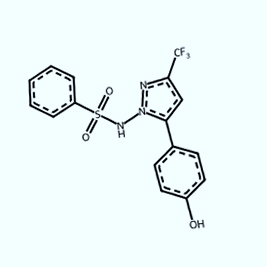 O=S(=O)(Nn1nc(C(F)(F)F)cc1-c1ccc(O)cc1)c1ccccc1